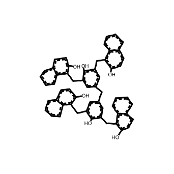 Oc1ccc2ccccc2c1Cc1cc(Cc2cc(Cc3c(O)ccc4ccccc34)c(O)c(Cc3c(O)ccc4ccccc34)c2)cc(Cc2c(O)ccc3ccccc23)c1O